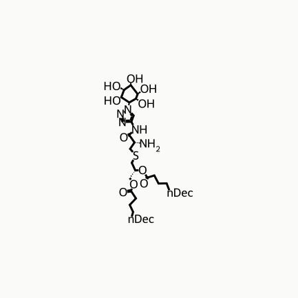 CCCCCCCCCCCCCC(=O)OC[C@H](CSC[C@@H](N)C(=O)Nc1cn([C@@H]2[C@H](O)[C@H](O)[C@@H](O)[C@H](O)[C@H]2O)nn1)OC(=O)CCCCCCCCCCCCC